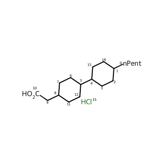 CCCCCC1CCC(C2CCC(CC(=O)O)CC2)CC1.Cl